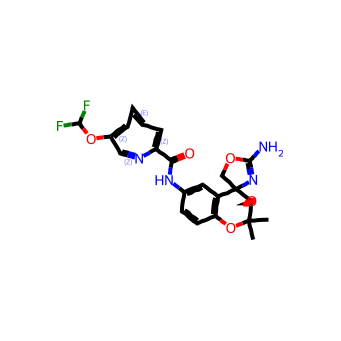 CC1(C)Oc2ccc(NC(=O)C3=C/C=C/C=C(OC(F)F)/C=N\3)cc2C2(COC(N)=N2)C12COC2